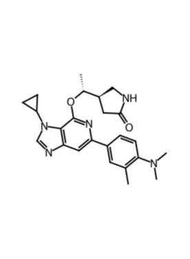 Cc1cc(-c2cc3ncn(C4CC4)c3c(O[C@H](C)[C@H]3CNC(=O)C3)n2)ccc1N(C)C